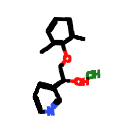 Cc1cccc(C)c1OCC(O)c1cccnc1.Cl